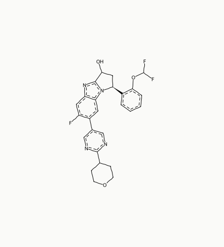 OC1C[C@@H](c2ccccc2OC(F)F)n2c1nc1cc(F)c(-c3cnc(C4CCOCC4)nc3)cc12